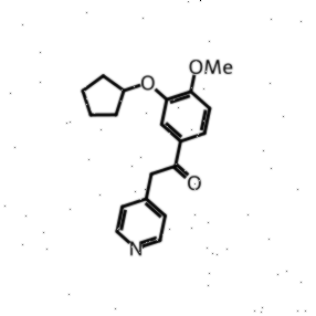 COc1ccc(C(=O)Cc2ccncc2)cc1OC1CCCC1